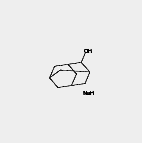 OC1C2CC3CC(C2)CC1C3.[NaH]